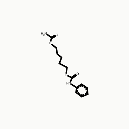 NC(=O)OCCCCCOC(=O)Nc1ccccc1